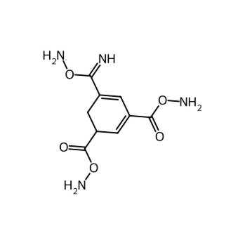 N=C(ON)C1=CC(C(=O)ON)=CC(C(=O)ON)C1